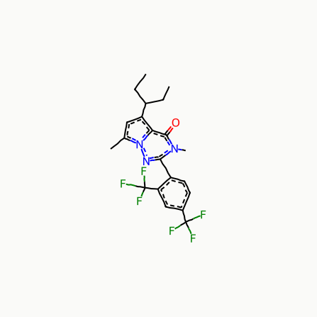 CCC(CC)c1cc(C)n2nc(-c3ccc(C(F)(F)F)cc3C(F)(F)F)n(C)c(=O)c12